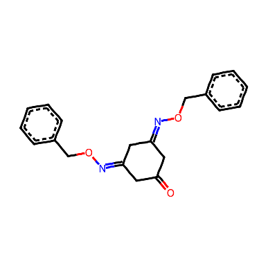 O=C1CC(=NOCc2ccccc2)CC(=NOCc2ccccc2)C1